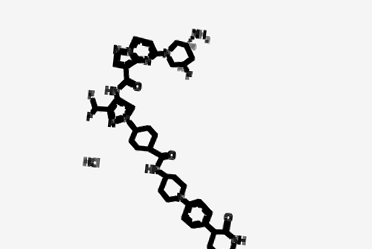 Cl.N[C@@H]1C[C@@H](F)CN(c2ccn3ncc(C(=O)Nc4cn(C5CCC(C(=O)NC6CCN(c7ccc(C8CCC(=O)NC8=O)cc7)CC6)CC5)nc4C(F)F)c3n2)C1